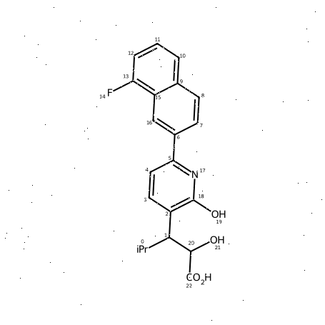 CC(C)C(c1ccc(-c2ccc3cccc(F)c3c2)nc1O)C(O)C(=O)O